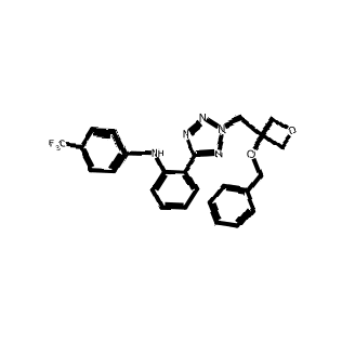 FC(F)(F)c1ccc(Nc2ccccc2-c2nnn(CC3(OCc4ccccc4)COC3)n2)cc1